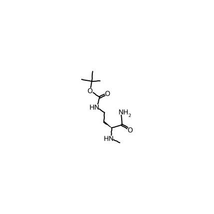 CN[C@@H](CCNC(=O)OC(C)(C)C)C(N)=O